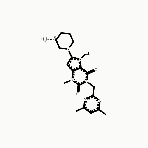 CCn1c(N2CCC[C@@H](N)C2)cc2c1c(=O)n(Cc1nc(C)cc(C)n1)c(=O)n2C